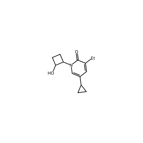 CCc1cc(C2CC2)cn(C2CCC2O)c1=O